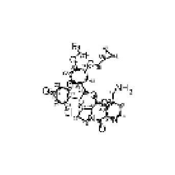 NCc1ccnc(C(=O)N2CCSC2C(=O)O[C@@H](Cc2c(Cl)c[n+]([O-])cc2Cl)c2ccc(OC(F)F)c(OCC3CC3)c2)c1